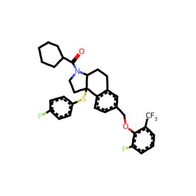 O=C(C1CCCCC1)N1CCC2(Sc3ccc(F)cc3)c3ccc(COc4c(F)cccc4C(F)(F)F)cc3CCC12